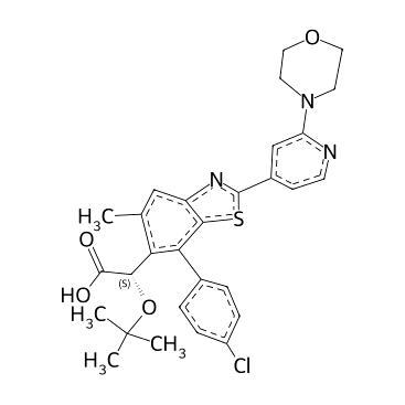 Cc1cc2nc(-c3ccnc(N4CCOCC4)c3)sc2c(-c2ccc(Cl)cc2)c1[C@H](OC(C)(C)C)C(=O)O